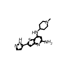 CN1CCC(Nc2cc(N)nc3cc(-c4ccn[nH]4)sc23)CC1